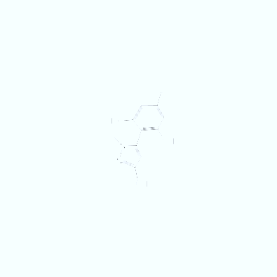 Cc1cc(C)c(-c2cc(C)nn2C)c(C)c1